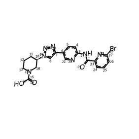 O=C(Nc1ccc(-c2cn([C@@H]3CCCN(C(=O)O)C3)nn2)cn1)c1cccc(Br)n1